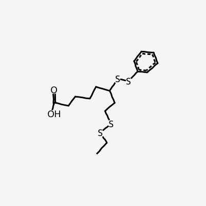 CCSSCCC(CCCCC(=O)O)SSc1ccccc1